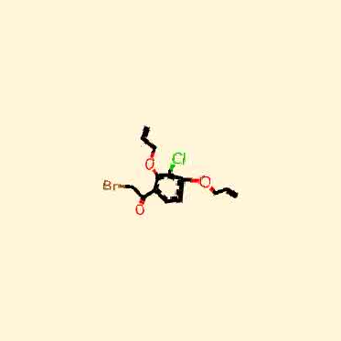 C=CCOc1ccc(C(=O)CBr)c(OCC=C)c1Cl